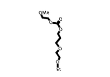 CCOCCOCCCOC(=O)OCCOC